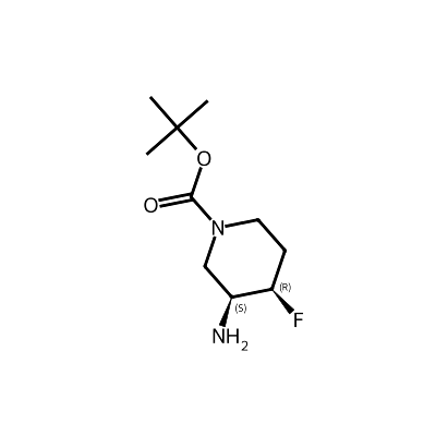 CC(C)(C)OC(=O)N1CC[C@@H](F)[C@@H](N)C1